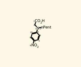 CCCCCN(CC(=O)O)c1ccc([N+](=O)[O-])cc1